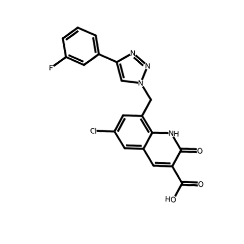 O=C(O)c1cc2cc(Cl)cc(Cn3cc(-c4cccc(F)c4)nn3)c2[nH]c1=O